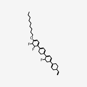 C=CC1CC=C(C2=CC=C(C3=CC=C(C4=CC=C(OCCCCCCCCC)C(F)C4F)CC3)C(F)C2)CC1